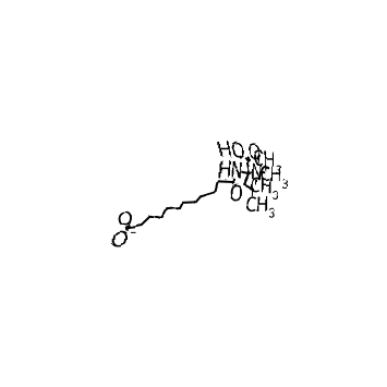 CCCC(NC(=O)CCCCCCCCCCC(=O)[O-])(C(=O)O)[N+](C)(C)C